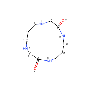 O=C1CNCCCNCC(=O)NCCCN1